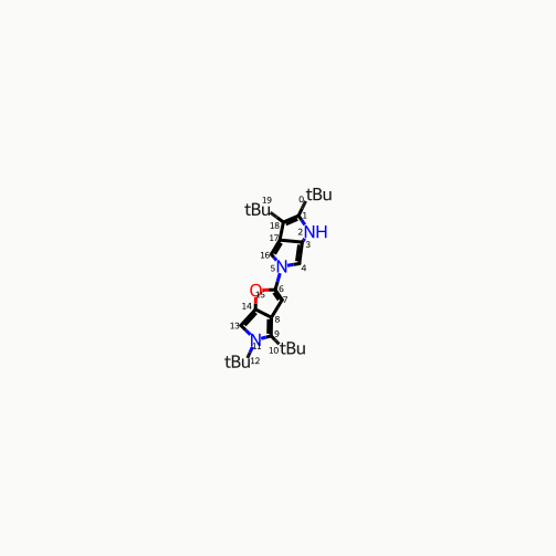 CC(C)(C)c1[nH]c2cn(-c3cc4c(C(C)(C)C)n(C(C)(C)C)cc4o3)cc2c1C(C)(C)C